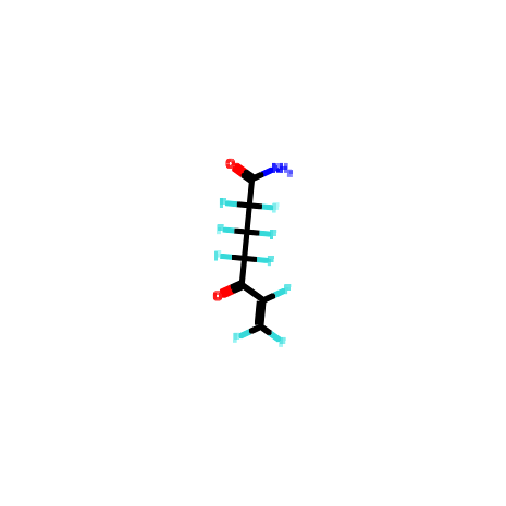 NC(=O)C(F)(F)C(F)(F)C(F)(F)C(=O)C(F)=C(F)F